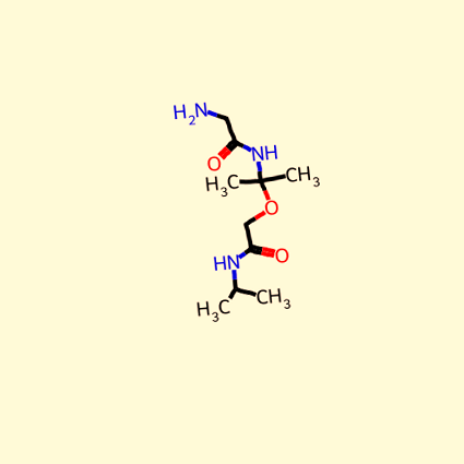 CC(C)NC(=O)COC(C)(C)NC(=O)CN